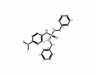 CN(C)c1ccc(NP(=O)(OCc2ccccc2)OCc2ccccc2)cc1